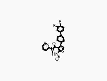 CN(C(=O)c1c(-c2ccc(-c3ccc(F)c(F)c3)cc2)csc1NC=O)c1ccccn1